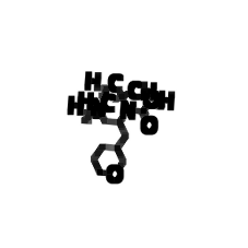 CC(C)(C)N(C(=O)O)C(CN)CC1CCCOC1